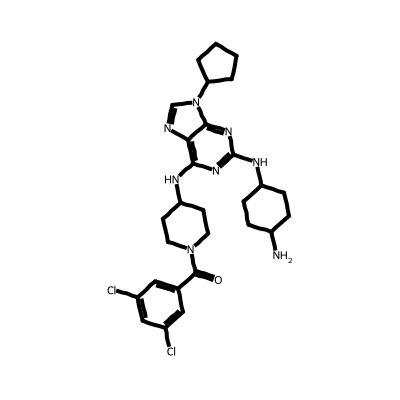 NC1CCC(Nc2nc(NC3CCN(C(=O)c4cc(Cl)cc(Cl)c4)CC3)c3ncn(C4CCCC4)c3n2)CC1